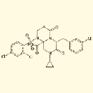 NC(=O)C12CN(C3CC3)C(=O)C(Cc3cccc(Cl)c3)N1C(=O)[C]CN2S(=O)(=O)c1ccc(Cl)cc1Cl